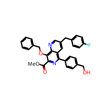 COC(=O)c1nc(-c2ccc(CO)cc2)c2cc(Cc3ccc(F)cc3)cnc2c1OCc1ccccc1